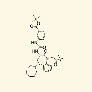 CC(C)(C)OC(=O)c1cccc(NC(=O)NC2CN(C3CCCCCC3)c3ccccc3N(CC(=O)C(C)(C)C)C2=O)c1